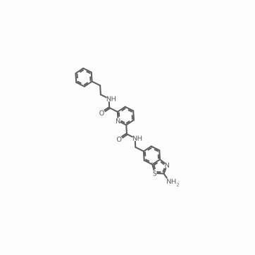 Nc1nc2ccc(CNC(=O)c3cccc(C(=O)NCCc4ccccc4)n3)cc2s1